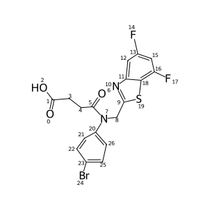 O=C(O)CCC(=O)N(Cc1nc2cc(F)cc(F)c2s1)c1ccc(Br)cc1